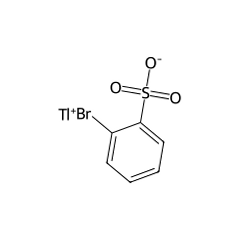 O=S(=O)([O-])c1ccccc1Br.[Tl+]